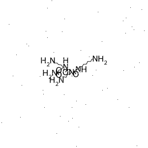 NCCCCCCCNCC(=O)N(CCCCN)CC(=O)NC(CCCCN)COC(N)=O